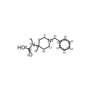 CN(C(=O)O)C1(C)CCN(Cc2ccccc2)CC1